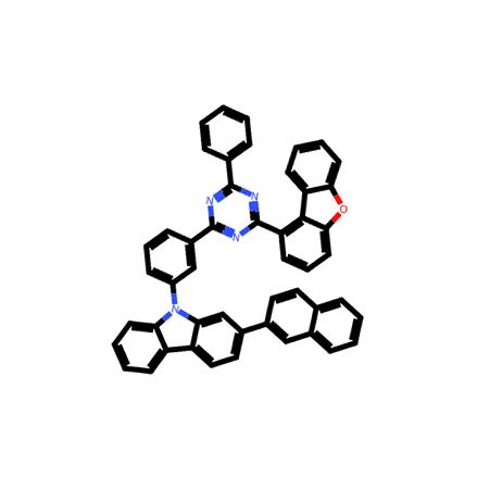 c1ccc(-c2nc(-c3cccc(-n4c5ccccc5c5ccc(-c6ccc7ccccc7c6)cc54)c3)nc(-c3cccc4oc5ccccc5c34)n2)cc1